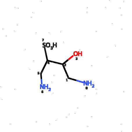 NCC(O)C(CN)S(=O)(=O)O